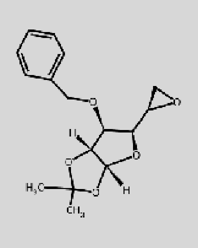 CC1(C)O[C@H]2O[C@H]([C@H]3CO3)[C@H](OCc3ccccc3)[C@H]2O1